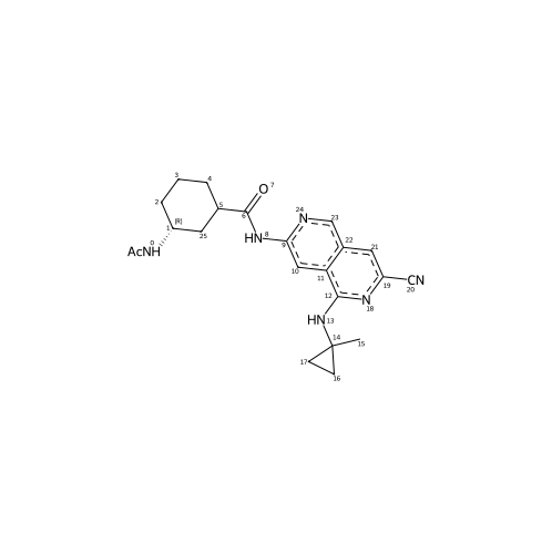 CC(=O)N[C@@H]1CCCC(C(=O)Nc2cc3c(NC4(C)CC4)nc(C#N)cc3cn2)C1